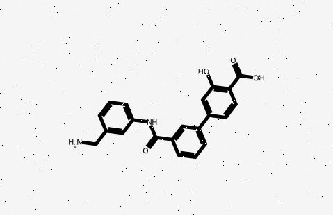 NCc1cccc(NC(=O)c2cccc(-c3ccc(C(=O)O)c(O)c3)c2)c1